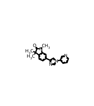 CN1C(=O)C(C)(C)c2ccc(-c3cn(-c4cccnc4)cn3)cc21